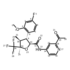 COc1cc(F)ccc1[C@@H]1[C@@H](C(=O)Nc2ccnc(C(C)=O)c2)O[C@@](C)(C(F)(F)F)[C@H]1C